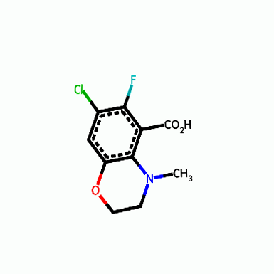 CN1CCOc2cc(Cl)c(F)c(C(=O)O)c21